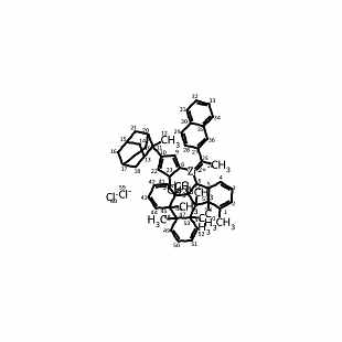 CC1=CC=CC2[CH](/[Zr+2]([C]3=CC(C4(C)C5CC6CC(C5)CC4C6)=CC3C)=[C](\C)c3ccc4ccccc4c3)C3(C)C4(C)C=CC=CC4(C)C4(C)C=CC=CC4(C)C3(C)C12C.[Cl-].[Cl-]